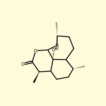 C[C@@H]1CCC2[C@@H](C)C(=O)OC3O[C@]4(C)CCC1[C@]32OO4